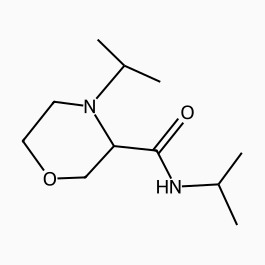 CC(C)NC(=O)C1COCCN1C(C)C